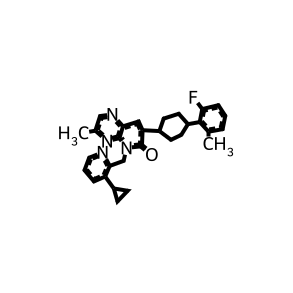 Cc1cnc2cc(C3CCC(c4c(C)cccc4F)CC3)c(=O)n(Cc3ncccc3C3CC3)c2n1